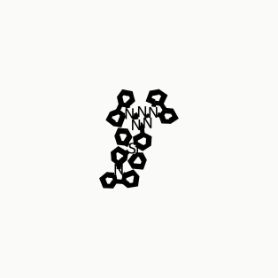 c1ccc([Si](c2ccccc2)(c2cccc(-c3nc(-n4c5ccccc5c5ccccc54)nc(-n4c5ccccc5c5ccccc54)n3)c2)c2cccc(-n3c4ccccc4c4ccccc43)c2)cc1